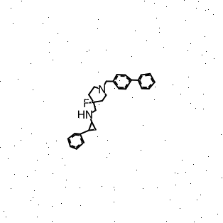 FC1(CNC2CC2c2ccccc2)CCN(Cc2ccc(-c3ccccc3)cc2)CC1